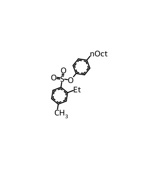 CCCCCCCCc1ccc(OS(=O)(=O)c2ccc(C)cc2CC)cc1